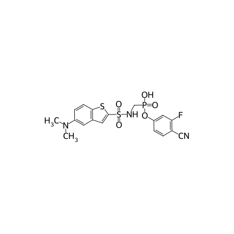 CN(C)c1ccc2sc(S(=O)(=O)NCP(=O)(O)Oc3ccc(C#N)c(F)c3)cc2c1